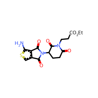 CCOC(=O)CCN1C(=O)CCC(N2C(=O)c3csc(N)c3C2=O)C1=O